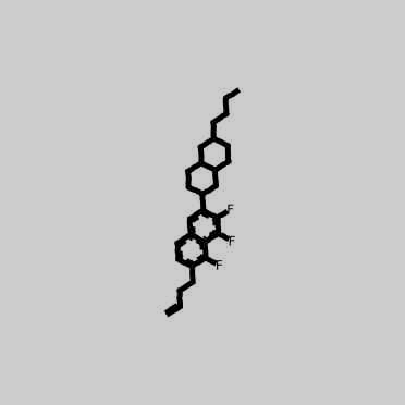 C=CCCc1ccc2cc(C3CCC4CC(CCCC)CCC4C3)c(F)c(F)c2c1F